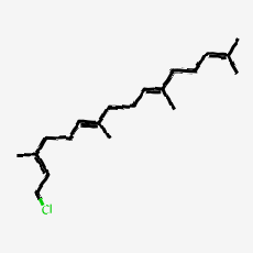 CC(C)=CCC/C(C)=C/CC/C(C)=C/CCC(C)=CCCl